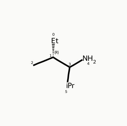 CC[C@@H](C)C(N)C(C)C